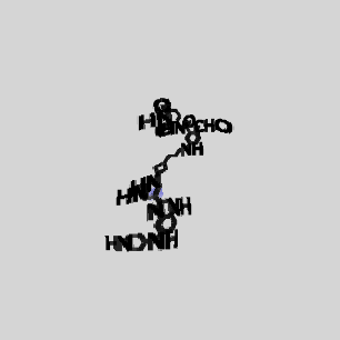 N=C/C(=C\NC1CC(CCCNc2ccc(C=O)c(C(=O)NC3CCC(=O)NC3=O)c2)C1)C1=Nc2cc(NC3CCNCC3)ccc2NC1